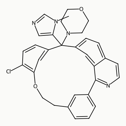 Cn1cncc1C1(N2CCOCC2)c2ccc(Cl)c(c2)OCCc2cccc(c2)-c2nccc3ccc1cc23